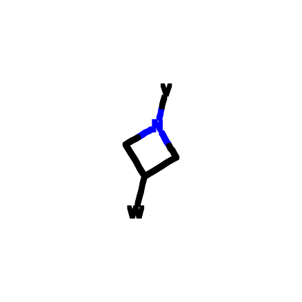 [V][N]1C[CH]([W])C1